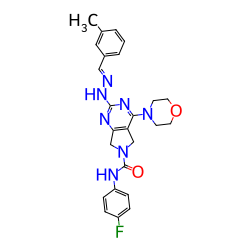 Cc1cccc(/C=N/Nc2nc3c(c(N4CCOCC4)n2)CN(C(=O)Nc2ccc(F)cc2)C3)c1